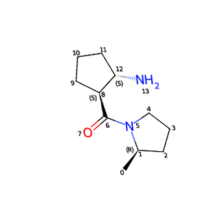 C[C@@H]1CCCN1C(=O)[C@H]1CCC[C@@H]1N